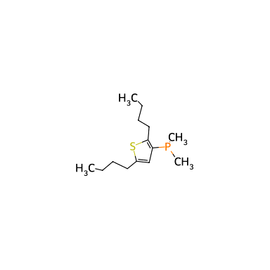 CCCCc1cc(P(C)C)c(CCCC)s1